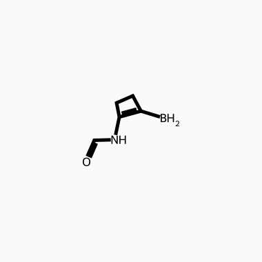 BC1=C(NC=O)CC1